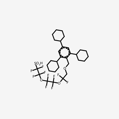 O=S(=O)(O)C(F)(F)C(F)(F)OC(F)(F)C(F)(F)OC(F)(F)COCc1c(C2CCCCC2)cc(C2CCCCC2)cc1C1CCCCC1